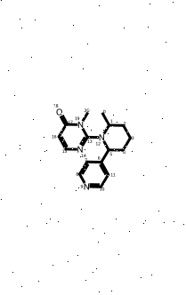 CC1CCCC(c2ccncc2)N1c1nccc(=O)n1C